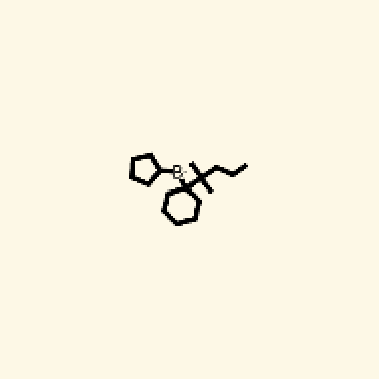 CCCC(C)(C)C1([B]C2CCCC2)CCCCC1